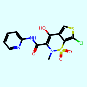 CN1C(C(=O)Nc2ccccn2)=C(O)c2csc(Cl)c2S1(=O)=O